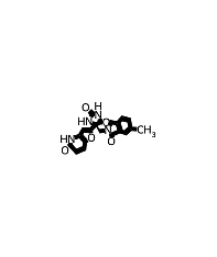 Cc1ccc2c(c1)C(=O)N(C[C@@]1(c3cc4[nH]c(=O)ccc4o3)NC(=O)NC1=O)C2